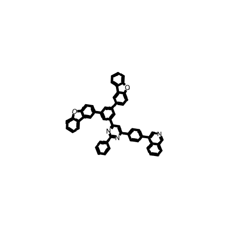 c1ccc(-c2nc(-c3ccc(-c4cncc5ccccc45)cc3)cc(-c3cc(-c4ccc5oc6ccccc6c5c4)cc(-c4ccc5oc6ccccc6c5c4)c3)n2)cc1